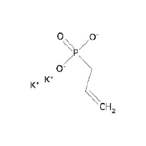 C=CCP(=O)([O-])[O-].[K+].[K+]